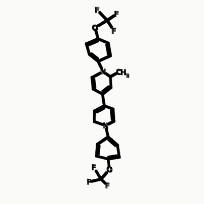 CC1C=C(C2=CCN(c3ccc(OC(F)(F)F)cc3)C=C2)C=CN1c1ccc(OC(F)(F)F)cc1